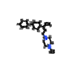 CCN1CCN(CC=C(C)c2ccc(-c3ccccc3)cc2)CC1